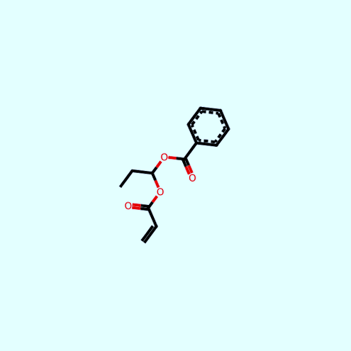 C=CC(=O)OC(CC)OC(=O)c1ccccc1